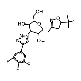 CO[C@@H]1[C@@H](n2cc(-c3cc(F)c(F)c(F)c3)nn2)[C@@H](O)[C@@H](CO)O[C@@H]1CC1=NOC(C(C)(C)C)C1